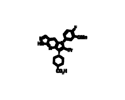 COc1cc(-n2c(C(C)C)c([C@H]3CC[C@H](C(=O)O)CC3)c3nc4[nH]ncc4cc32)ccc1F